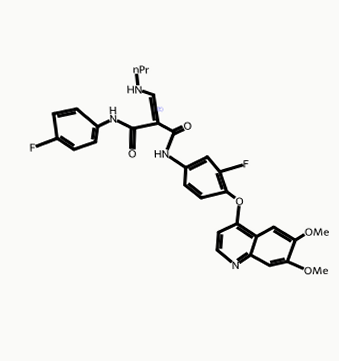 CCCN/C=C(\C(=O)Nc1ccc(F)cc1)C(=O)Nc1ccc(Oc2ccnc3cc(OC)c(OC)cc23)c(F)c1